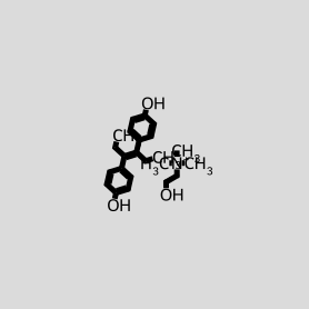 CC/C(=C(/CC)c1ccc(O)cc1)c1ccc(O)cc1.C[N+](C)(C)CCO